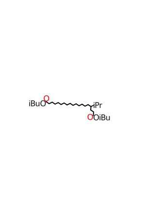 CC(C)COC(=O)CCCCCCCCCCCCCCC(CCC(=O)OCC(C)C)C(C)C